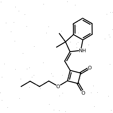 CCCCOc1c(C=C2Nc3ccccc3C2(C)C)c(=O)c1=O